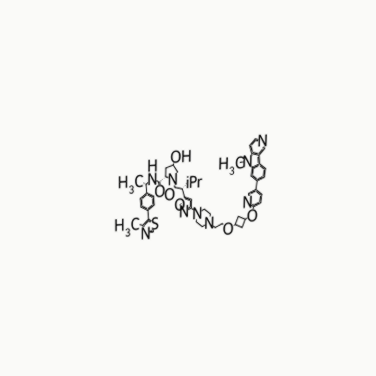 Cc1ncsc1-c1ccc([C@H](C)NC(=O)[C@@H]2C[C@@H](O)CN2C(=O)[C@@H](c2cc(N3CCN(CCO[C@H]4C[C@H](Oc5ccc(-c6ccc7c8cnccc8n(C)c7c6)cn5)C4)CC3)no2)C(C)C)cc1